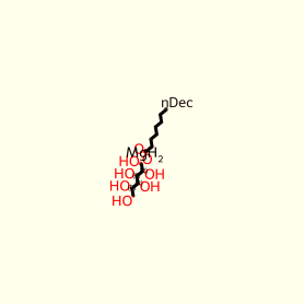 CCCCCCCCCCCCCCCCCC(=O)OC(O)[C@H](O)[C@@H](O)[C@H](O)[C@H](O)CO.[MgH2]